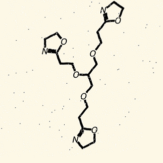 C1COC(CCOCC(COCCC2=NCCO2)OCCC2=NCCO2)=N1